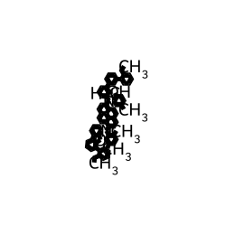 CCc1ccccc1-c1cccc(-c2cccc(N(c3cc(C)ccc3C)c3ccc4ccc5c(N(c6cc(C)ccc6C)c6cccc7c6oc6c(-c8ccccc8CC)cccc67)ccc6ccc3c4c65)c2O)c1